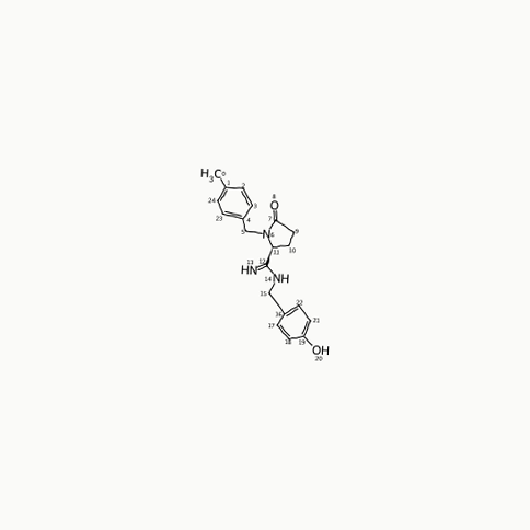 Cc1ccc(CN2C(=O)CC[C@H]2C(=N)NCc2ccc(O)cc2)cc1